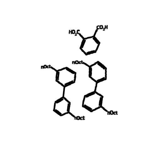 CCCCCCCCc1cccc(-c2cccc(CCCCCCCC)c2)c1.CCCCCCCCc1cccc(-c2cccc(CCCCCCCC)c2)c1.O=C(O)c1ccccc1C(=O)O